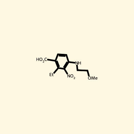 CCc1c(C(=O)O)ccc(NCCOC)c1[N+](=O)[O-]